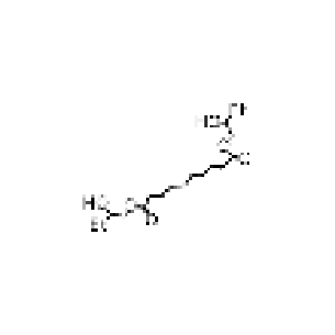 CCC(O)COC(=O)CCCCCCCCC(=O)OCC(O)CC